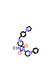 CCN1C(=O)N(C2CCCN(c3ccccc3)C2)C(=O)C12CCN(Cc1ccc(N3CCCC3)cc1)CC2